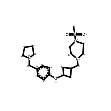 CS(=O)(=O)N1CCN(CC2CC(Oc3ccc(CN4CCCC4)cc3)C2)CC1